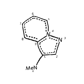 CNc1cnn2ccccc12